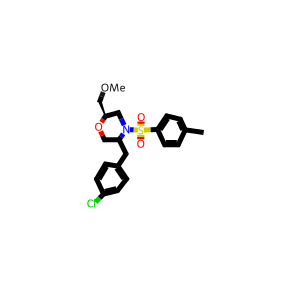 COC[C@H]1CN(S(=O)(=O)c2ccc(C)cc2)C(Cc2ccc(Cl)cc2)CO1